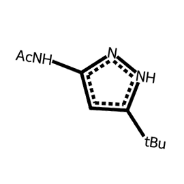 CC(=O)Nc1cc(C(C)(C)C)[nH]n1